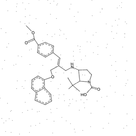 COC(=O)c1ccc(/C=C(/CNC2CCN(C(=O)O)C2C(C)(C)C)COc2cccc3ccccc23)cc1